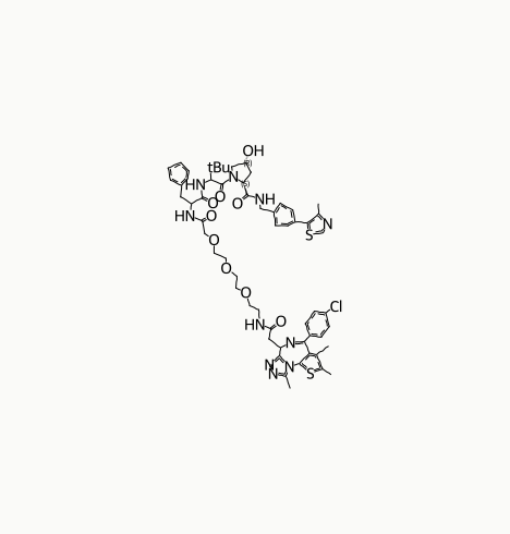 Cc1ncsc1-c1ccc(CNC(=O)[C@@H]2C[C@@H](O)CN2C(=O)C(NC(=O)C(Cc2ccccc2)NC(=O)COCCOCCOCCNC(=O)CC2N=C(c3ccc(Cl)cc3)c3c(sc(C)c3C)-n3c(C)nnc32)C(C)(C)C)cc1